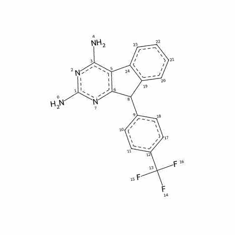 Nc1nc(N)c2c(n1)C(c1ccc(C(F)(F)F)cc1)c1ccccc1-2